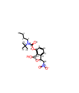 CCCCN(C(=O)Oc1cccc2c1B(O)OC2C[N+](=O)[O-])C(C)(C)C